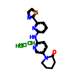 Cl.Cl.Cl.O=C1CCCCN1c1ccc(Nc2cccc(-c3nccs3)n2)nc1